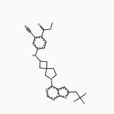 COC(=O)c1ccc(NC2CC3(CCN(c4ncnc5sc(CC(F)(F)F)cc45)C3)C2)cc1C#N